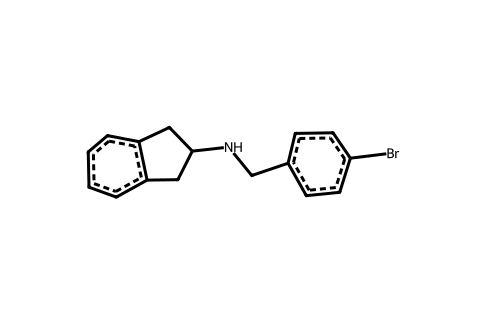 Brc1ccc(CNC2Cc3ccccc3C2)cc1